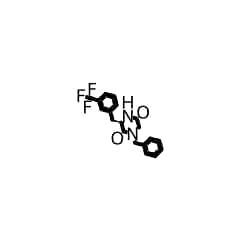 O=C1CN(Cc2ccccc2)C(=O)[C@@H](Cc2cccc(C(F)(F)F)c2)N1